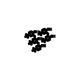 CC(C)(C)c1ccc(O)c(Cc2cc(C(C)(C)C)cc(Cc3cc(C(C)(C)C)ccc3O)c2O)c1.CC(C)(C)c1ccc(O)c(Cc2cc(C(C)(C)C)ccc2O)c1